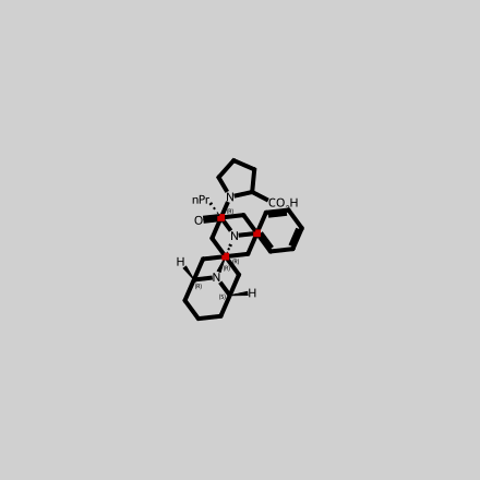 CCC[C@@H]1CCC[C@@H](N2[C@@H]3CCC[C@H]2C[C@@H](N(C(=O)N2CCCC2C(=O)O)c2ccccc2)C3)C1